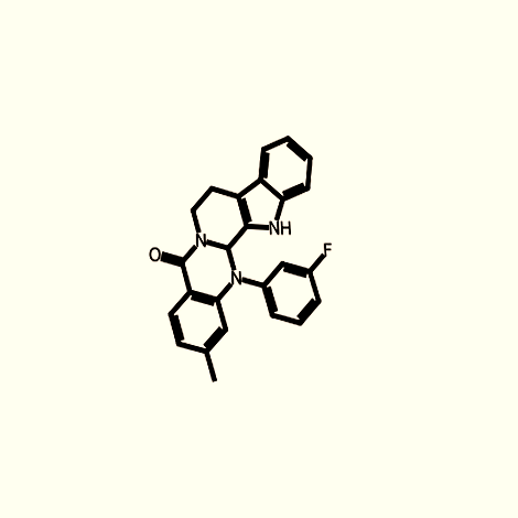 Cc1ccc2c(c1)N(c1cccc(F)c1)C1c3[nH]c4ccccc4c3CCN1C2=O